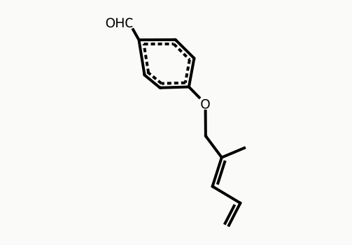 C=C/C=C(\C)COc1ccc(C=O)cc1